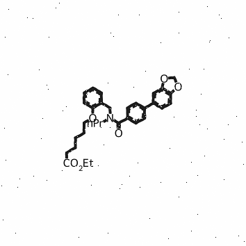 CCCN(Cc1ccccc1OCCCCCC(=O)OCC)C(=O)c1ccc(-c2ccc3c(c2)OCO3)cc1